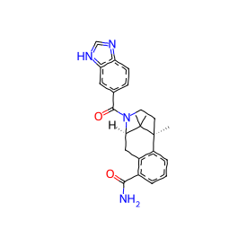 CC1(C)[C@H]2Cc3c(C(N)=O)cccc3[C@]1(C)CCN2C(=O)c1ccc2nc[nH]c2c1